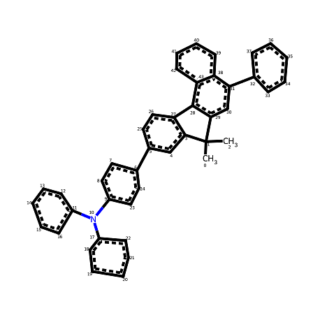 CC1(C)c2cc(-c3ccc(N(c4ccccc4)c4ccccc4)cc3)ccc2-c2c1cc(-c1ccccc1)c1ccccc21